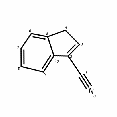 N#CC1=CCc2ccccc21